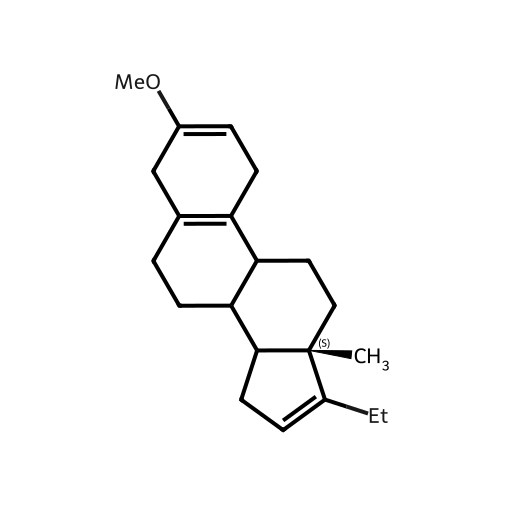 CCC1=CCC2C3CCC4=C(CC=C(OC)C4)C3CC[C@]12C